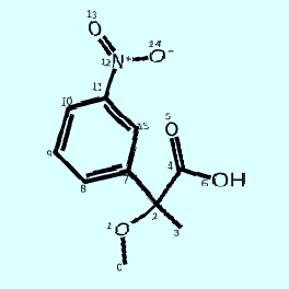 COC(C)(C(=O)O)c1cccc([N+](=O)[O-])c1